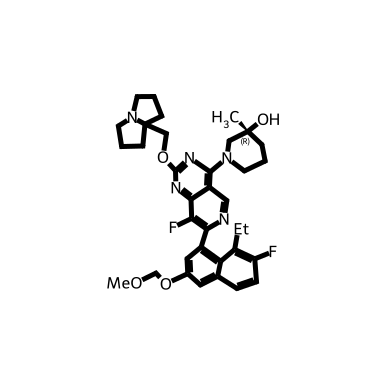 CCc1c(F)ccc2cc(OCOC)cc(-c3ncc4c(N5CCC[C@@](C)(O)C5)nc(OCC56CCCN5CCC6)nc4c3F)c12